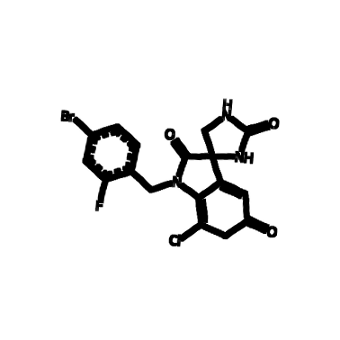 O=C1C=C2C(=C(Cl)C1)N(Cc1ccc(Br)cc1F)C(=O)C21CNC(=O)N1